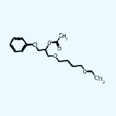 CCOCCCCOCC(COc1ccccc1)OC(C)=O